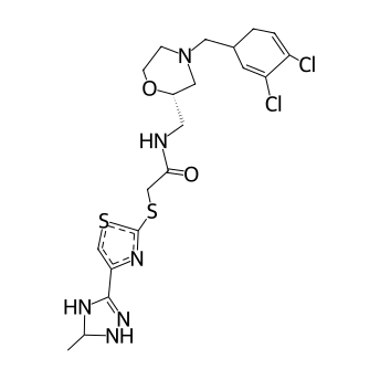 CC1NN=C(c2csc(SCC(=O)NC[C@H]3CN(CC4C=C(Cl)C(Cl)=CC4)CCO3)n2)N1